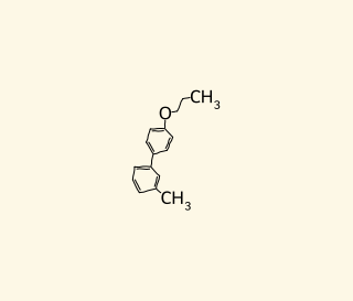 CCCOc1ccc(-c2cccc(C)c2)cc1